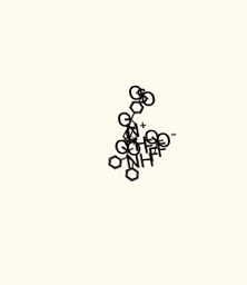 CS(=O)(=O)c1ccc(C(=O)C[N+]23CCC(CC2)[C@@H](OC(=O)C(Nc2ccccc2)c2ccccc2)C3)cc1.O=C([O-])C(F)(F)F